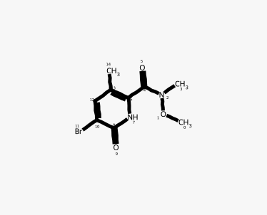 CON(C)C(=O)c1[nH]c(=O)c(Br)cc1C